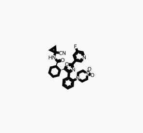 N#CC1(NC(=O)[C@@H]2CCCC[C@H]2c2oc(-c3cncc(F)c3)nc2-c2ccccc2N2CCS(=O)(=O)CC2)CC1